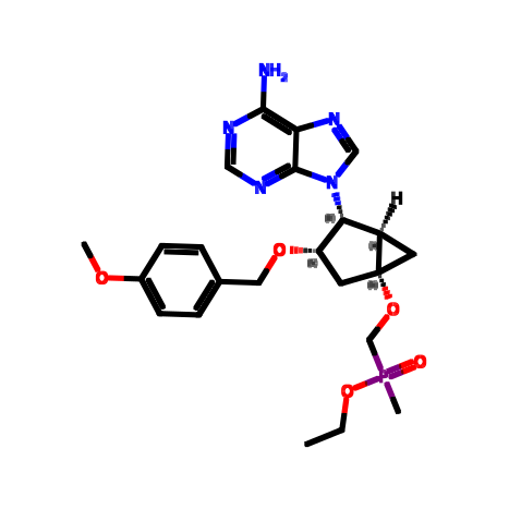 CCOP(C)(=O)CO[C@]12C[C@H](OCc3ccc(OC)cc3)[C@H](n3cnc4c(N)ncnc43)[C@H]1C2